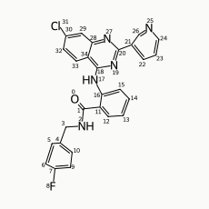 O=C(NCc1ccc(F)cc1)c1ccccc1Nc1nc(-c2cccnc2)nc2cc(Cl)ccc12